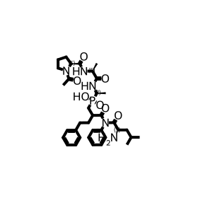 CC(=O)N1CCC[C@H]1C(=O)N[C@@H](C)C(=O)N[C@@H](C)P(=O)(O)CC(CCc1ccccc1)C(=O)N(C(=O)[C@@H](N)CC(C)C)c1ccccc1